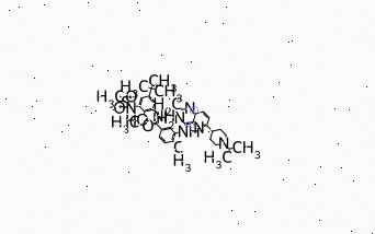 C=C/N=C1/C=CC(C2CCN(C(C)C)CC2)=N/C1=C(/N)Nc1cc(C(=O)Nc2cc(C(C)(C)C)cc(NS(C)(=O)=O)c2OC)ccc1C